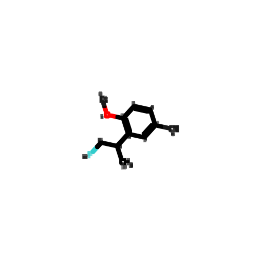 CCOc1ccc(C#N)cc1[C](C)CF